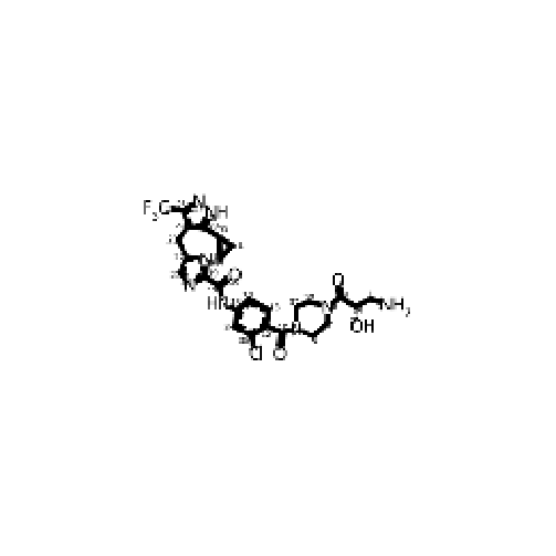 NC[C@H](O)C(=O)N1CCN(C(=O)c2ccc(NC(=O)c3ncc(Cc4c(C(F)(F)F)n[nH]c4C4CC4)[nH]3)cc2Cl)CC1